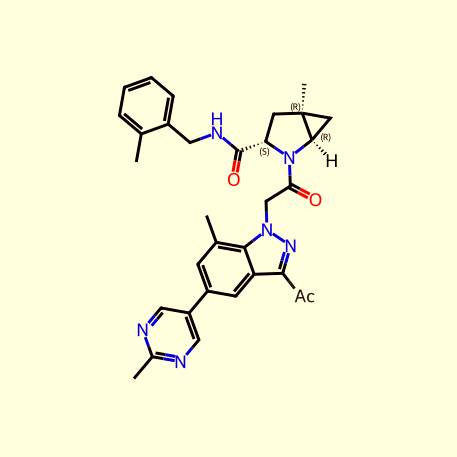 CC(=O)c1nn(CC(=O)N2[C@H](C(=O)NCc3ccccc3C)C[C@@]3(C)C[C@@H]23)c2c(C)cc(-c3cnc(C)nc3)cc12